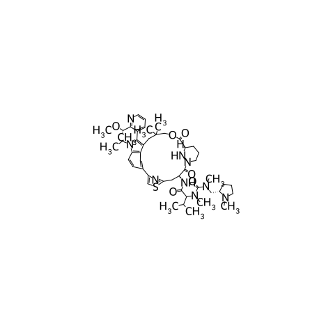 CCn1c(-c2cccnc2[C@H](C)OC)c2c3cc(ccc31)-c1csc(n1)C[C@H](NC(=O)C(C(C)C)N(C)C(=O)N(C)C[C@@H]1CCCN1C)C(=O)N1CCC[C@H](N1)C(=O)OCC(C)(C)C2